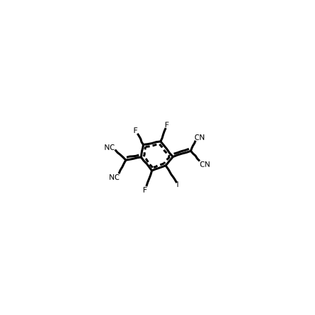 N#CC(C#N)=c1c(F)c(F)c(=C(C#N)C#N)c(I)c1F